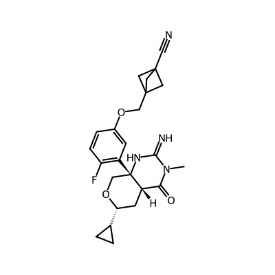 CN1C(=N)N[C@@]2(c3cc(OCC45CC(C#N)(C4)C5)ccc3F)CO[C@@H](C3CC3)C[C@H]2C1=O